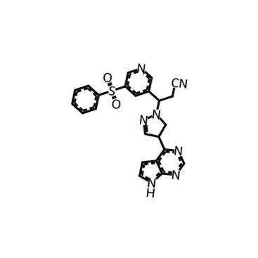 N#CCC(c1cncc(S(=O)(=O)c2ccccc2)c1)N1CC(c2ncnc3[nH]ccc23)C=N1